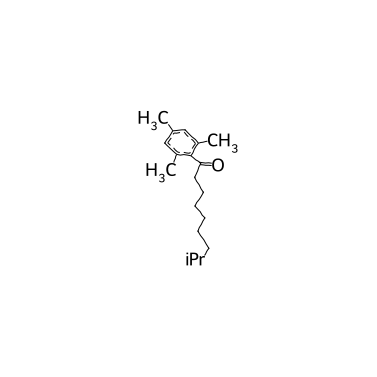 Cc1cc(C)c(C(=O)CCCCCCC(C)C)c(C)c1